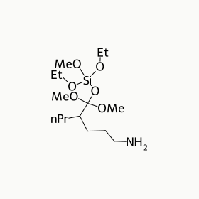 CCCC(CCCN)C(OC)(OC)O[Si](OC)(OCC)OCC